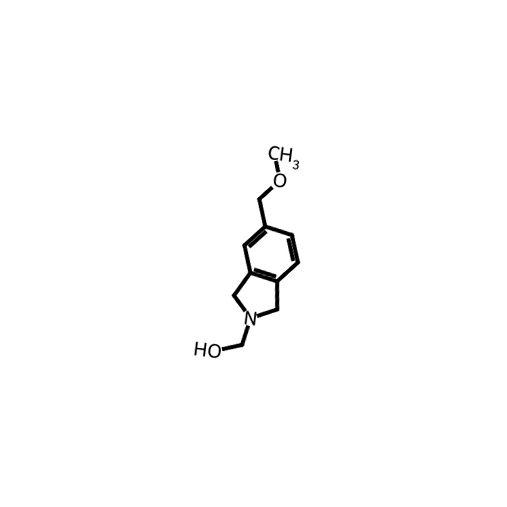 COCc1ccc2c(c1)CN(CO)C2